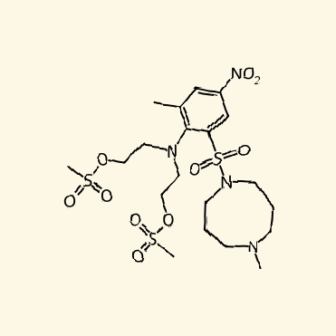 Cc1cc([N+](=O)[O-])cc(S(=O)(=O)N2CCCN(C)CCC2)c1N(CCOS(C)(=O)=O)CCOS(C)(=O)=O